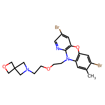 Cc1cc2c(cc1Br)Oc1cc(Br)cnc1N2CCOCCN1CC2(COC2)C1